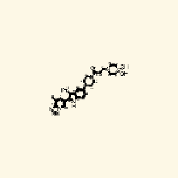 Cc1cc(-c2[nH]c3ccc(C4CCN(C(=O)CCN5CCS(O)(O)CC5)CC4)cc3c2C(C)C)cn2nnnc12